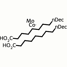 CCCCCCCCCCCCCCCCCC(=O)O.CCCCCCCCCCCCCCCCCC(=O)O.[Co].[Mo]